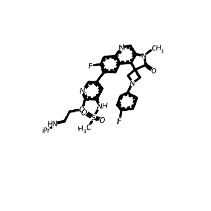 CC(C)NCCOc1ncc(-c2cc3c4c(cnc3cc2F)N(C)C(=O)C42CN(c3ccc(F)cc3)C2)cc1NS(C)(=O)=O